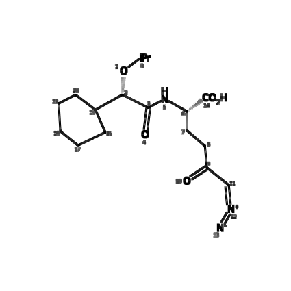 CC(C)O[C@H](C(=O)N[C@@H](CCC(=O)C=[N+]=[N-])C(=O)O)C1CCCCC1